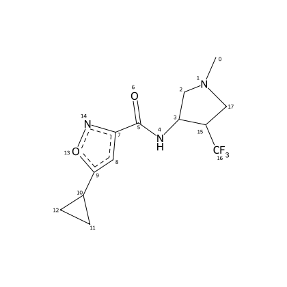 CN1CC(NC(=O)c2cc(C3CC3)on2)C(C(F)(F)F)C1